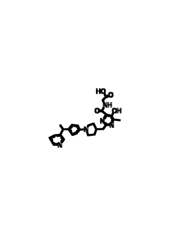 Cc1nc(CC2CCN(c3ccc(C(C)c4cccnc4)cc3)CC2)nc(C(=O)NCC(=O)O)c1O